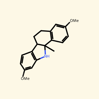 COc1ccc2c(c1)CCC1c3ccc(OC)cc3NC21C